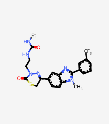 CCNC(=O)NCCN1N=C(c2ccc3c(c2)nc(-c2cccc(C(F)(F)F)c2)n3C)CSC1=O